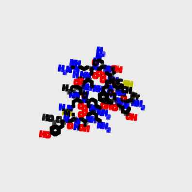 CC[C@H](C)[C@H](NC(=O)[C@@H]1C[C@@H](O)CN1C(=O)[C@@H](N)C(C)C)C(=O)N[C@H](C(=O)N[C@@H](Cc1ccc(O)cc1)C(=O)N[C@@H](CO)C(=O)N[C@@H](CC(N)=O)C(=O)N[C@@H](CCCNC(=N)N)C(=O)N[C@@H](CCN)C(=O)N[C@H](C(=O)N[C@H](CCN)C(=O)N[C@@H](CCCCN)C(=O)N[C@@H](CCCN)C(=O)N[C@@H](CO)C(=O)N[C@@H](CS)C(=O)N[C@@H](Cc1ccc(O)cc1)C(=O)O)[C@@H](C)O)C(C)(C)S